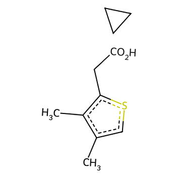 C1CC1.Cc1csc(CC(=O)O)c1C